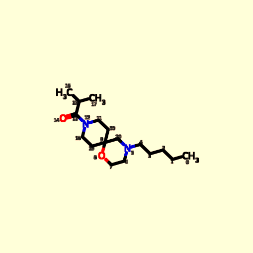 CCCCCN1CCOC2(CCN(C(=O)C(C)C)CC2)C1